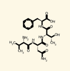 CC(C)[C@H](N)C(=O)N[C@@H](CC(N)=O)C(=O)N[C@H](C(=O)N[C@@H](Cc1ccccc1)C(=O)O)[C@@H](C)O